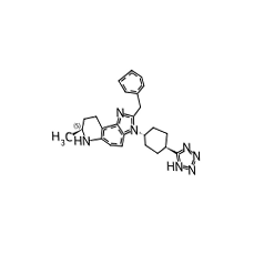 C[C@H]1CCc2c(ccc3c2nc(Cc2ccccc2)n3[C@H]2CC[C@H](c3nnn[nH]3)CC2)N1